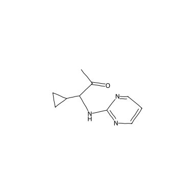 CC(=O)C(Nc1ncccn1)C1CC1